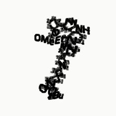 CCC1c2c([nH]c3nnc(-c4ccccc4OCOC)cc23)CCN1c1ncc(C2CCN(C3CC4(C3)CN(C(=O)OC(C)(C)C)C4)CC2)cn1